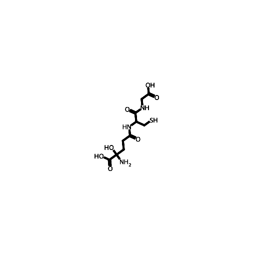 NC(O)(CCC(=O)NC(CS)C(=O)NCC(=O)O)C(=O)O